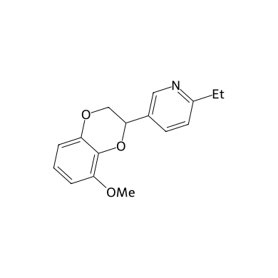 CCc1ccc(C2COc3cccc(OC)c3O2)cn1